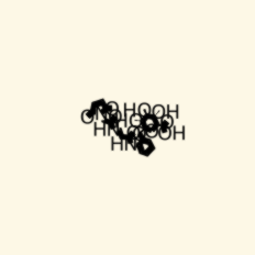 O=C(CN1C(=O)C=CC1=O)NCCC(=O)Nc1ccccc1O[C@@H]1O[C@H](C(=O)O)[C@@H](O)[C@H](O)[C@H]1O